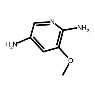 COc1cc(N)cnc1N